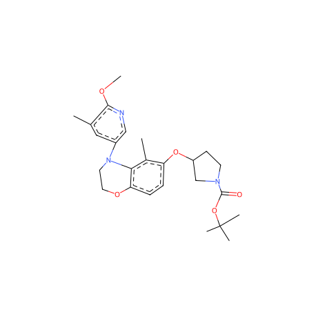 COc1ncc(N2CCOc3ccc(OC4CCN(C(=O)OC(C)(C)C)C4)c(C)c32)cc1C